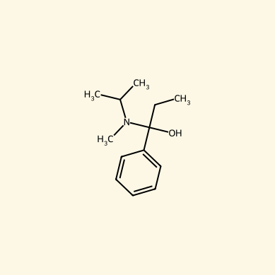 CCC(O)(c1ccccc1)N(C)C(C)C